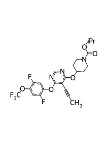 CC#Cc1c(Oc2cc(F)c(OC(F)(F)F)cc2F)ncnc1OC1CCN(C(=O)OC(C)C)CC1